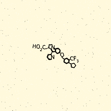 O=C(O)C[C@H]1CCn2c1c(-c1ccccn1)c1cc(OCc3ccc(C4CCCC4)c(C(F)(F)F)c3)ccc12